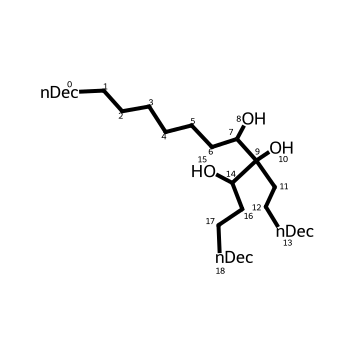 CCCCCCCCCCCCCCCCC(O)C(O)(CCCCCCCCCCCC)C(O)CCCCCCCCCCCC